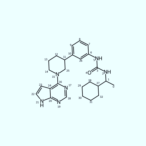 CC(NC(=O)Nc1cccc(C2CCCN(c3ncnc4[nH]ccc34)C2)c1)C1CCCCC1